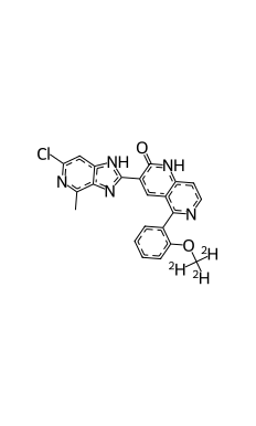 [2H]C([2H])([2H])Oc1ccccc1-c1nccc2[nH]c(=O)c(-c3nc4c(C)nc(Cl)cc4[nH]3)cc12